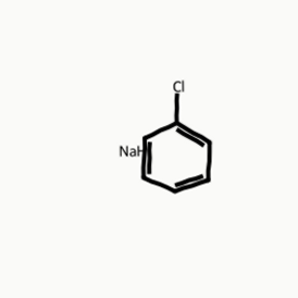 Clc1ccccc1.[NaH]